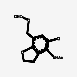 CC(=O)Nc1c(Cl)cc(COC=O)c2c1CCO2